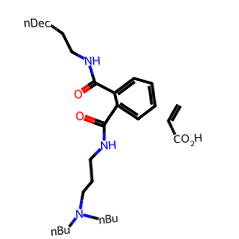 C=CC(=O)O.CCCCCCCCCCCCNC(=O)c1ccccc1C(=O)NCCCN(CCCC)CCCC